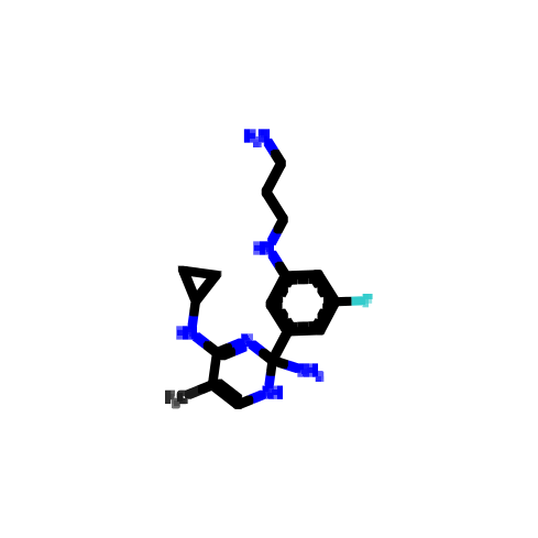 NCCCNc1cc(F)cc(C2(N)N=C(NC3CC3)C(C(F)(F)F)=CN2)c1